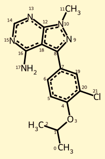 CC(C)Oc1ccc(-c2nn(C)c3ncnc(N)c23)cc1Cl